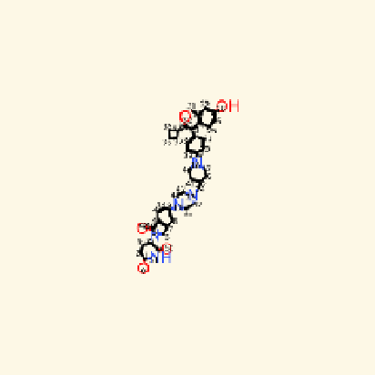 O=C1CC[C@H](N2Cc3cc(N4CCN(CC5CCN(c6ccc([C@H]7c8ccc(O)cc8CO[C@H]7C7CCC7)cc6)CC5)CC4)ccc3C2=O)C(=O)N1